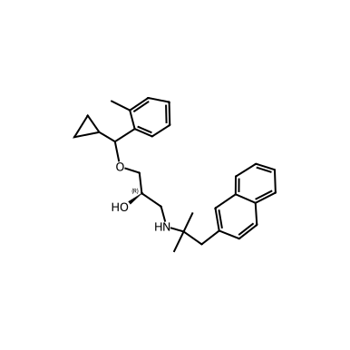 Cc1ccccc1C(OC[C@H](O)CNC(C)(C)Cc1ccc2ccccc2c1)C1CC1